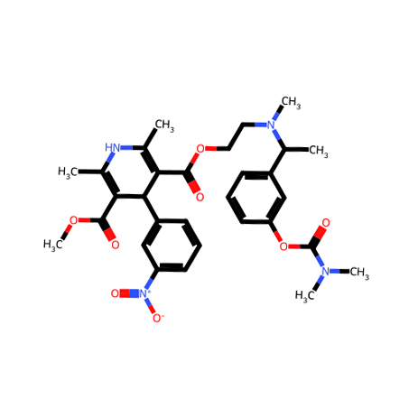 COC(=O)C1=C(C)NC(C)=C(C(=O)OCCN(C)C(C)c2cccc(OC(=O)N(C)C)c2)C1c1cccc([N+](=O)[O-])c1